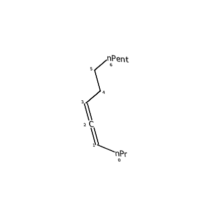 CCCC=C=CCCCCCCC